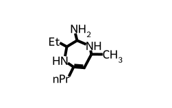 CCCC1=CC(C)NC(N)C(CC)N1